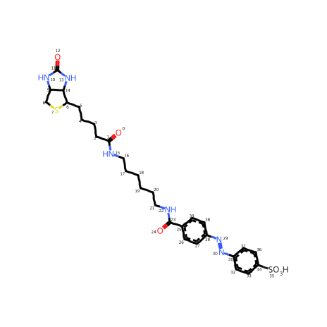 O=C(CCCCC1SCC2NC(=O)NC21)NCCCCCCNC(=O)c1ccc(/N=N/c2ccc(S(=O)(=O)O)cc2)cc1